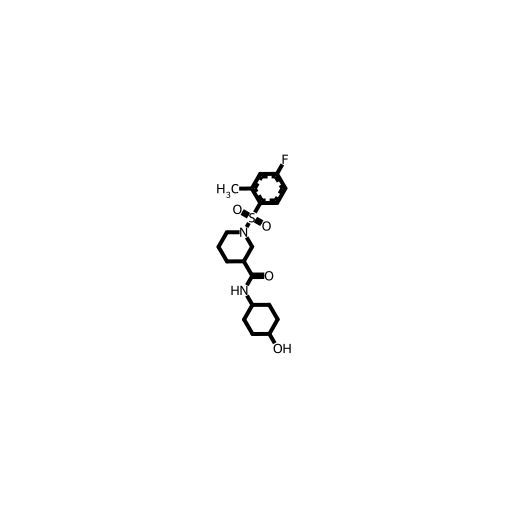 Cc1cc(F)ccc1S(=O)(=O)N1CCCC(C(=O)NC2CCC(O)CC2)C1